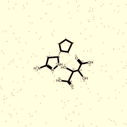 NC1=NN[C@@H](C2CCCC2)C1.O=C(O)C(O)C(O)C(=O)O